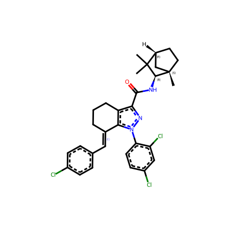 CC1(C)[C@@H]2CC[C@@](C)(C2)[C@H]1NC(=O)c1nn(-c2ccc(Cl)cc2Cl)c2c1CCC/C2=C\c1ccc(Cl)cc1